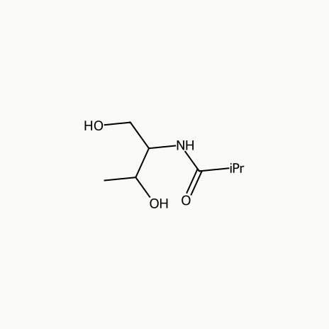 CC(C)C(=O)NC(CO)C(C)O